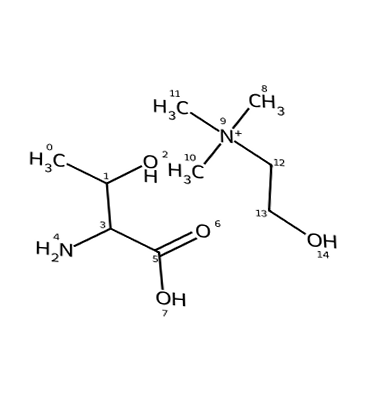 CC(O)C(N)C(=O)O.C[N+](C)(C)CCO